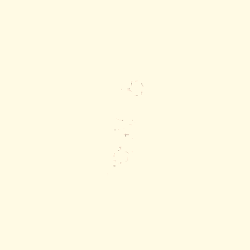 CC(C#N)(CCc1ccccc1C(F)(F)F)NC(=O)c1ccc(OC(F)(F)F)cc1